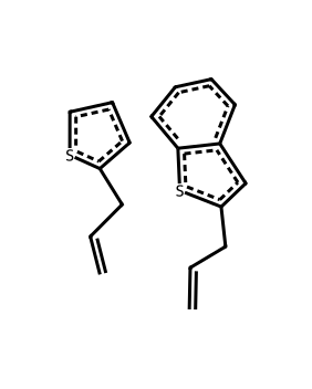 C=CCc1cc2ccccc2s1.C=CCc1cccs1